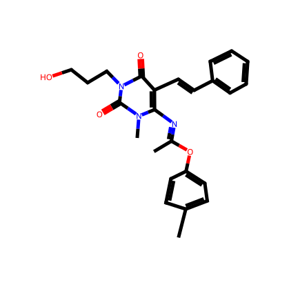 C/C(=N\c1c(/C=C/c2ccccc2)c(=O)n(CCCO)c(=O)n1C)Oc1ccc(C)cc1